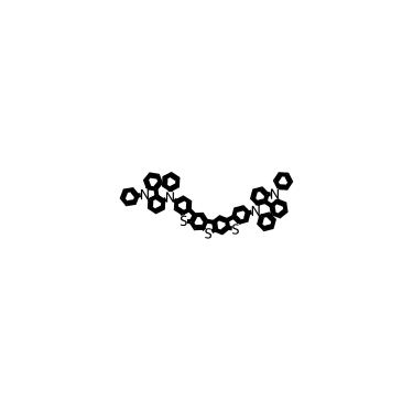 c1ccc(N(c2ccc3c(c2)sc2cc4sc5cc6sc7cc(N(c8ccccc8)c8cccc9c8c8ccccc8n9-c8ccccc8)ccc7c6cc5c4cc23)c2cccc3c2c2ccccc2n3-c2ccccc2)cc1